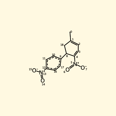 CC1=CC=C([N+](=O)[O-])C(c2ccc([N+](=O)[O-])cc2)C1